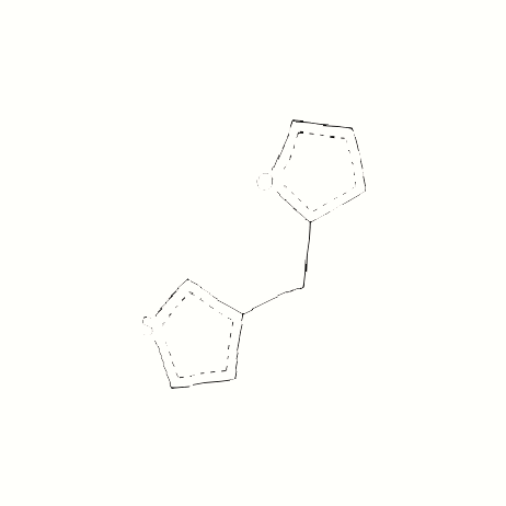 c1coc(Cc2ccsc2)c1